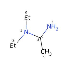 CCN(CC)[C](C)N